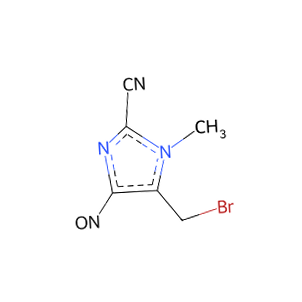 Cn1c(C#N)nc(N=O)c1CBr